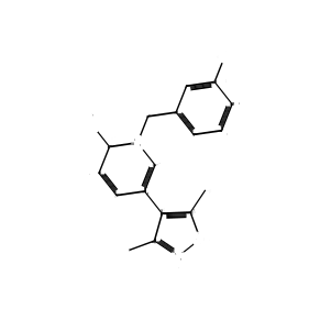 Cc1noc(C)c1C1=CN(Cc2cccc(C(F)(F)F)c2)C(O)C=C1